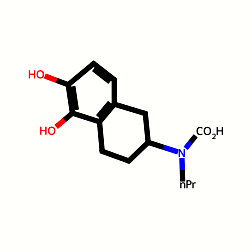 CCCN(C(=O)O)C1CCc2c(ccc(O)c2O)C1